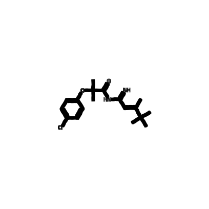 C/C(=C\C(=N)NC(=O)C(C)(C)Oc1ccc(Cl)cc1)C(C)(C)C